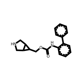 O=C(Nc1ccccc1-c1ccccc1)OCC1C2CNCC21